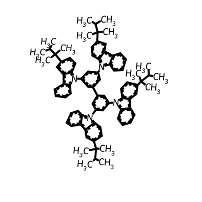 CC(C)C(C)(C)c1ccc2c(c1)c1ccccc1n2-c1cc(-c2cc(-n3c4ccccc4c4cc(C(C)(C)C(C)C)ccc43)cc(-n3c4ccccc4c4cc(C(C)(C)C(C)C)ccc43)c2)cc(-n2c3ccccc3c3cc(C(C)(C)C(C)C)ccc32)c1